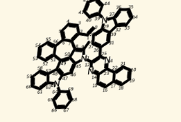 C=Cc1cccc2c1-c1c(C)n(-c3nc4ccc5ccccc5c4nc3-c3ccc4c(c3)c3ccccc3n4-c3ccccc3)c3cc4c(c(c13)-c1ccccc1-2)c1ccccc1n4-c1ccccc1